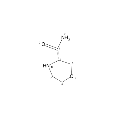 NC(=O)[C@@H]1COCCN1